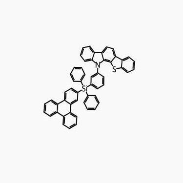 c1ccc([Si](c2ccccc2)(c2cccc(-n3c4ccccc4c4ccc5c6ccccc6sc5c43)c2)c2ccc3c4ccccc4c4ccccc4c3c2)cc1